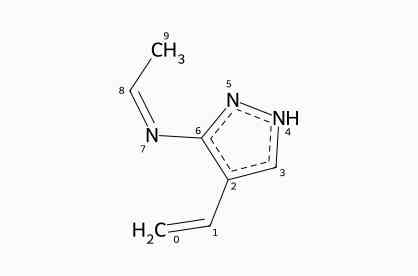 C=Cc1c[nH]nc1/N=C\C